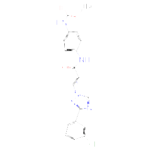 CC(C)(C)OC(O)Nc1ccc(NC(=O)/C=C/n2cnc(-c3cccc(Cl)c3)n2)cc1